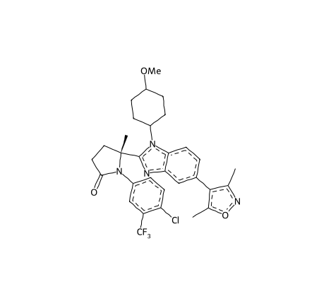 COC1CCC(n2c([C@@]3(C)CCC(=O)N3c3ccc(Cl)c(C(F)(F)F)c3)nc3cc(-c4c(C)noc4C)ccc32)CC1